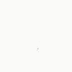 CCCCCSCSC#N